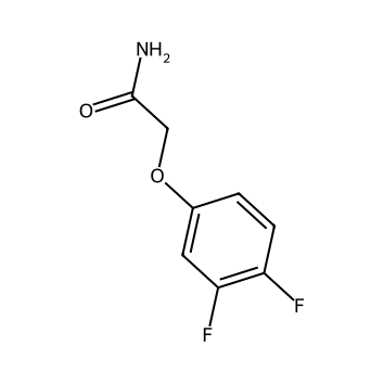 NC(=O)COc1ccc(F)c(F)c1